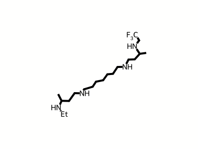 CCNC(C)CCNCCCCCCCNCCC(C)NCC(F)(F)F